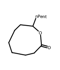 CCCCCC1CCCCCCC(=O)O1